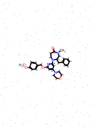 COc1ccc(COc2cc(N3CCOCC3)cc(N3CCC(=O)N(C)CC3Cc3ccccc3)n2)cc1